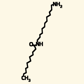 CCCCCCCCCCCC(=O)NCCCCCCCCCCCCCN